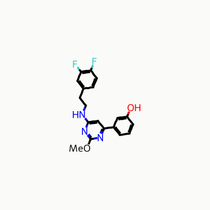 COc1nc(NCCc2ccc(F)c(F)c2)cc(-c2cccc(O)c2)n1